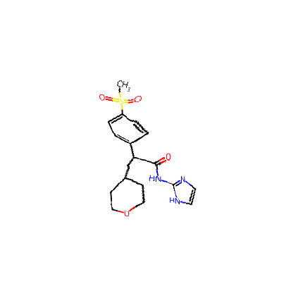 CS(=O)(=O)c1ccc(C(CC2CCOCC2)C(=O)Nc2ncc[nH]2)cc1